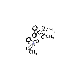 COC(=O)CCC1(CCC(=O)OC)c2ccccc2-c2ccc(C(=O)/C(=N/OCC(C)=O)c3ccccc3C)cc21